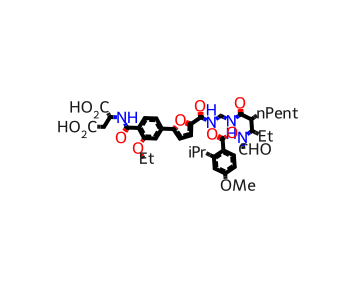 CCCCCC(C(=O)NCNC(=O)c1ccc(-c2ccc(C(=O)NC(CC(=O)O)C(=O)O)c(OCC)c2)o1)C(CC)N(C=O)OC(=O)c1ccc(OC)cc1C(C)C